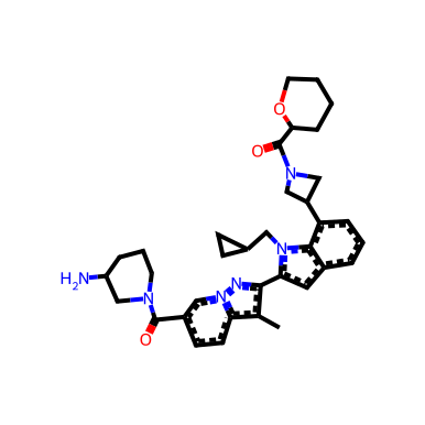 Cc1c(-c2cc3cccc(C4CN(C(=O)C5CCCCO5)C4)c3n2CC2CC2)nn2cc(C(=O)N3CCCC(N)C3)ccc12